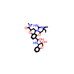 CCC1(CC)CC(=O)N(C2CC(C(=O)N(C)C)Oc3ccc(C(O)N[C@@H]4c5ccccc5OC[C@@]4(C)O)cc32)C(=N)N1